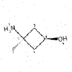 C[C@]1(N)C[C@@H](O)C1